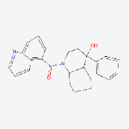 O=C(c1cccc2ncccc12)N1CCC(O)(c2ccccc2)C2CCCCC21